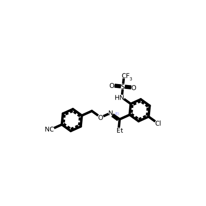 CC/C(=N\OCc1ccc(C#N)cc1)c1cc(Cl)ccc1NS(=O)(=O)C(F)(F)F